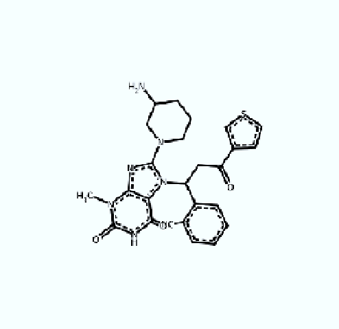 Cn1c(=O)[nH]c(=O)c2c1nc(N1CCCC(N)C1)n2C(CC(=O)c1ccsc1)c1ccccc1C#N